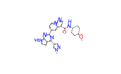 CO[C@H]1CC[C@H](NC(=O)c2cnn3ccc(-c4nc(-c5cnn(C)c5)c5cc[nH]c5n4)cc23)CC1